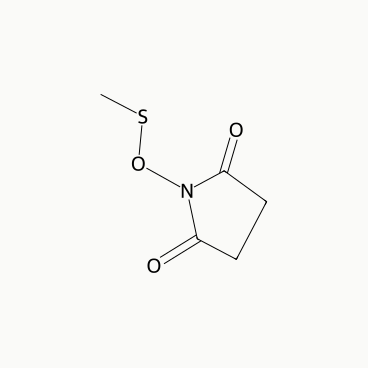 CSON1C(=O)CCC1=O